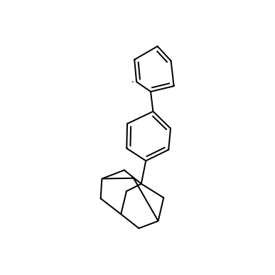 [c]1ccccc1-c1ccc(C23CC4CC(CC(C4)C2)C3)cc1